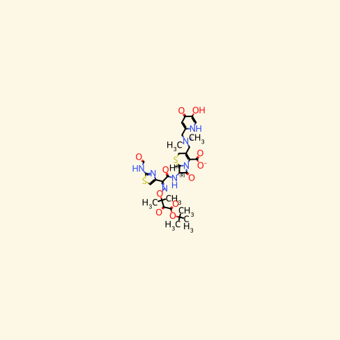 CC(C)(C)OC(=O)C(=O)C(C)(C)ON=C(C(=O)N[C@@H]1C(=O)N2C(C(=O)[O-])=C(C[N+](C)(C)Cc3cc(=O)c(O)c[nH]3)CS[C@@H]12)c1csc(NC=O)n1